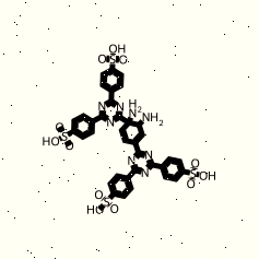 NC1C=C(c2nc(-c3ccc(S(=O)(=O)O)cc3)nc(-c3ccc(S(=O)(=O)O)cc3)n2)C=CC1(N)c1nc(-c2ccc(S(=O)(=O)O)cc2)nc(-c2ccc(S(=O)(=O)O)cc2)n1